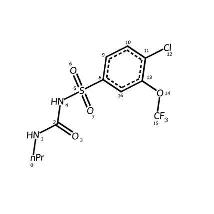 CCCNC(=O)NS(=O)(=O)c1ccc(Cl)c(OC(F)(F)F)c1